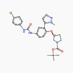 Cn1nccc1-c1cc(NC(=O)Nc2ccc(Cl)cc2)ccc1O[C@H]1CCN(C(=O)OC(C)(C)C)C1